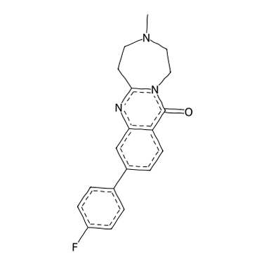 CN1CCc2nc3cc(-c4ccc(F)cc4)ccc3c(=O)n2CC1